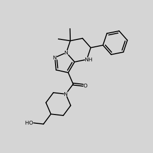 CC1(C)CC(c2ccccc2)Nc2c(C(=O)N3CCC(CO)CC3)cnn21